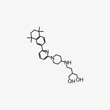 CC1(C)CCC(C)(C)c2cc(-c3cccc(N4CCC(NCCC(CO)CO)CC4)n3)ccc21